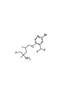 CC(COc1cnc(Br)cc1C(F)F)CC(C)(N)CF